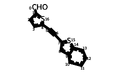 O=Cc1ccc(C#Cc2cc3ccccc3s2)s1